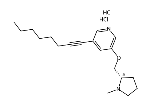 CCCCCCC#Cc1cncc(OC[C@@H]2CCCN2C)c1.Cl.Cl